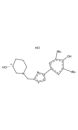 CC(C)(C)c1cc(-c2csc(CN3CCC[C@@H](O)C3)n2)cc(C(C)(C)C)c1O.Cl